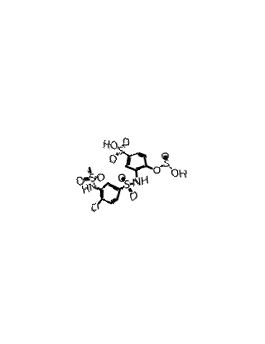 CS(=O)(=O)Nc1cc(S(=O)(=O)Nc2cc(S(=O)(=O)O)ccc2OS(=O)O)ccc1Cl